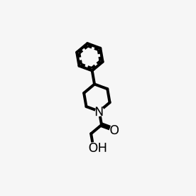 O=C(CO)N1CCC(c2ccccc2)CC1